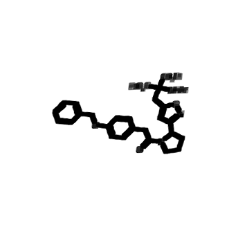 CCOC(=O)C(Cc1cc(C2CCCN2C(=O)Cc2ccc(OCc3ccccc3)cc2)no1)(NC(C)=O)C(=O)OCC